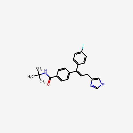 CC(C)(C)NC(=O)c1ccc(C(=CCc2c[nH]cn2)c2ccc(F)cc2)cc1